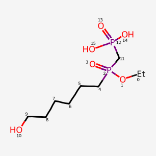 CCOP(=O)(CCCCCCO)CP(=O)(O)O